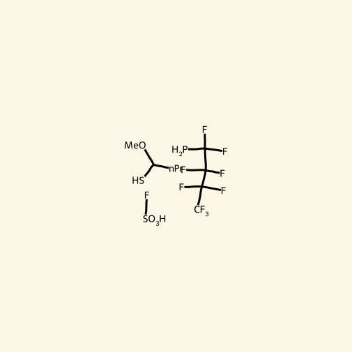 CCCC(S)OC.FC(F)(F)C(F)(F)C(F)(F)C(F)(F)P.O=S(=O)(O)F